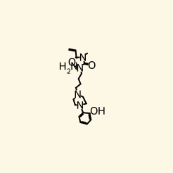 C=CC(=O)N(C)C(=O)N(N)CCCCN1CCN(c2ccccc2O)CC1